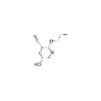 CCCOc1ncc(O)cc1C#N